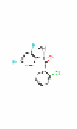 [2H]C1(c2ccc(F)cc2F)OC1c1ccccc1Cl